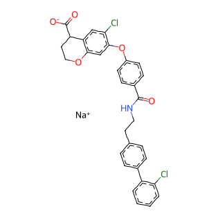 O=C(NCCc1ccc(-c2ccccc2Cl)cc1)c1ccc(Oc2cc3c(cc2Cl)C(C(=O)[O-])CCO3)cc1.[Na+]